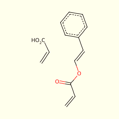 C=CC(=O)O.C=CC(=O)OC=Cc1ccccc1